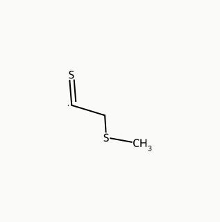 CSC[C]=S